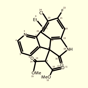 CCOc1ncccc1C1(C(C(=O)OC)C(=O)OC)C(=O)Nc2cc(F)c(Cl)cc21